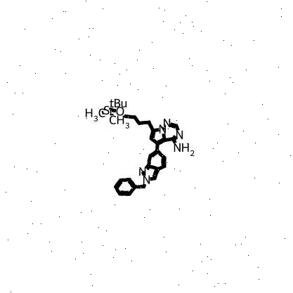 CC(C)(C)[Si](C)(C)OCCCCc1cc(-c2ccc3cn(Cc4ccccc4)nc3c2)c2c(N)ncnn12